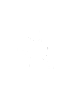 CCO[Si](CCCO[PH](S)(CC)OCCC[Si](OCC)(OCC)OCC)(OCC)OCC